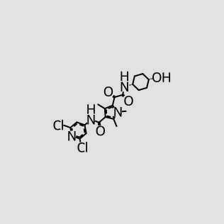 Cc1c(C(=O)Nc2cc(Cl)nc(Cl)c2)c(C)n(C)c1C(=O)C(=O)N[C@H]1CC[C@@H](O)CC1